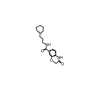 O=C1COc2cc(C(=O)NCCCN3CCCCC3)ccc2N1